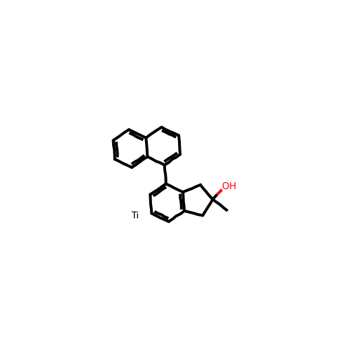 CC1(O)Cc2cccc(-c3cccc4ccccc34)c2C1.[Ti]